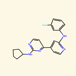 Fc1cccc(Nc2cc(-c3ccnc(NC4CCCC4)n3)ccn2)c1